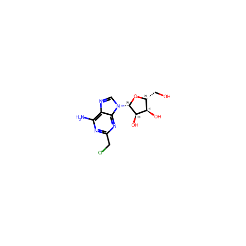 Nc1nc(CCl)nc2c1ncn2[C@@H]1O[C@H](CO)[C@@H](O)[C@H]1O